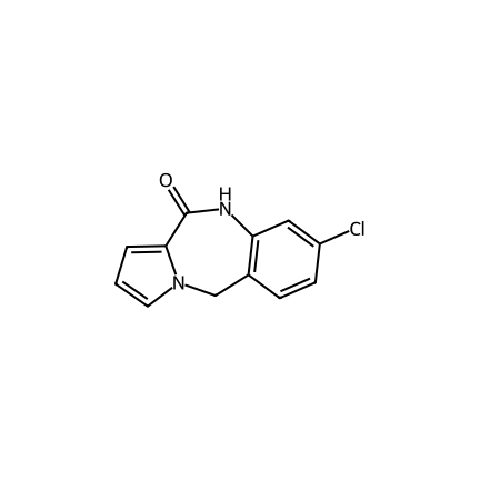 O=C1Nc2cc(Cl)ccc2Cn2cccc21